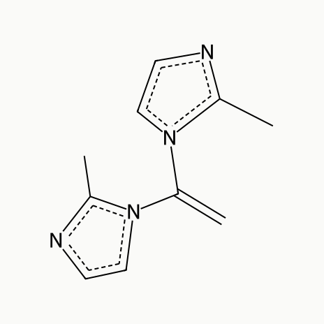 C=C(n1ccnc1C)n1ccnc1C